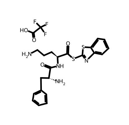 NCCC[C@H](NC(=O)[C@H](N)Cc1ccccc1)C(=O)Sc1nc2ccccc2s1.O=C(O)C(F)(F)F